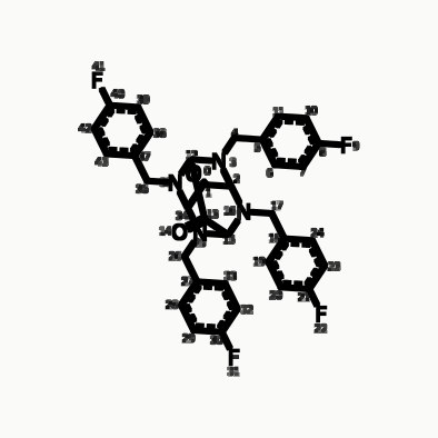 O=C1C2N(Cc3ccc(F)cc3)C3C(=O)C(N2Cc2ccc(F)cc2)N(Cc2ccc(F)cc2)C1N3Cc1ccc(F)cc1